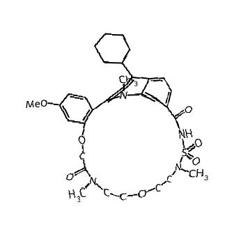 COc1ccc2c(c1)OCC(=O)N(C)CCOCCN(C)S(=O)(=O)NC(=O)c1ccc3c(C4CCCCC4)c-2n(C)c3c1